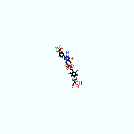 Cc1cc(OC[C@H](O)CO)cc(C)c1C=CS(=O)(=O)N1CCC2(CC1)N=C(c1ccc3c(c1)OC(F)(F)O3)NC2=O